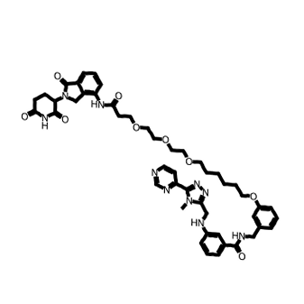 Cn1c(CNc2cccc(C(=O)NCc3cccc(OCCCCCCOCCOCCOCCC(=O)Nc4cccc5c4CN(C4CCC(=O)NC4=O)C5=O)c3)c2)nnc1-c1ccncn1